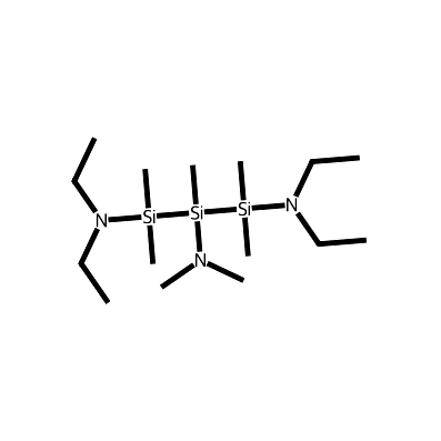 CCN(CC)[Si](C)(C)[Si](C)(N(C)C)[Si](C)(C)N(CC)CC